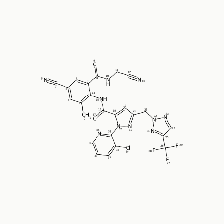 Cc1cc(C#N)cc(C(=O)NCC#N)c1NC(=O)c1cc(Cn2ncc(C(F)(F)F)n2)nn1-c1ncccc1Cl